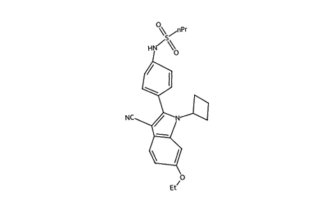 CCCS(=O)(=O)Nc1ccc(-c2c(C#N)c3ccc(OCC)cc3n2C2CCC2)cc1